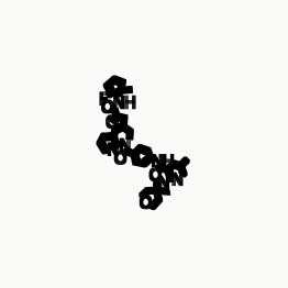 Cc1cnc(N2CC3(CCOCC3)C2)c(C(=O)Nc2ccc(C(=O)N3CCc4cc(C(=O)Nc5c(C)cccc5F)oc4-c4cccnc43)cc2)c1